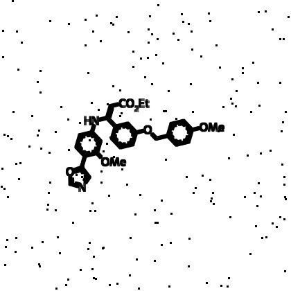 CCOC(=O)/C=C(/Nc1ccc(-c2cnco2)c(OC)c1)c1cccc(OCc2ccc(OC)cc2)c1